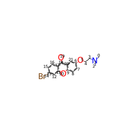 CN(C)CCOc1ccc2oc3cc(Br)ccc3c(=O)c2c1